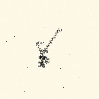 CCCCCCCCCCCCCCCC(=O)O[C@H](COC(=O)CCCCCCCCCCCCCCCS)COP(=O)(O)OC1C(O)[C@H](O)C(O)[C@H](OP(=O)(O)O)[C@@H]1O